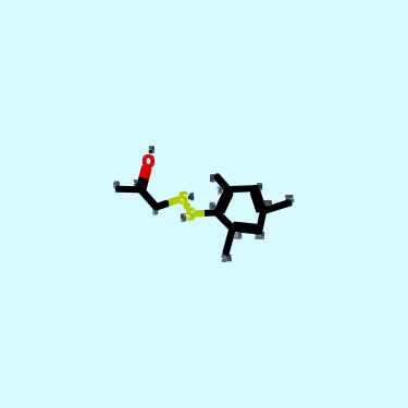 CC(=O)CSSc1c(C)cc(C)cc1C